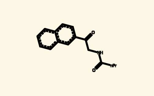 CCCC(=O)NCC(=O)c1ccc2ccccc2c1